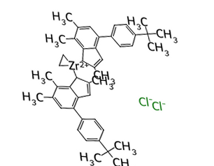 CC1=Cc2c(-c3ccc(C(C)(C)C)cc3)cc(C)c(C)c2[CH]1[Zr+2]1([CH]2C(C)=Cc3c(-c4ccc(C(C)(C)C)cc4)cc(C)c(C)c32)[CH2][CH2]1.[Cl-].[Cl-]